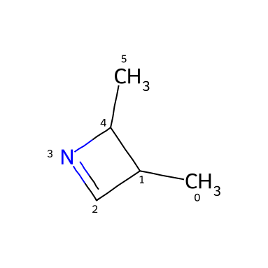 CC1C=NC1C